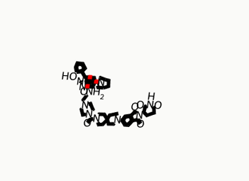 Nc1nnc(-c2ccccc2O)cc1N1CC2CCC(C1)N2c1cccc(OCCN2CCN(C(=O)N3CCC4(CC3)CCN(c3ccc5c(c3)C(=O)N(C3CCC(=O)NC3=O)C5=O)CC4)CC2)c1